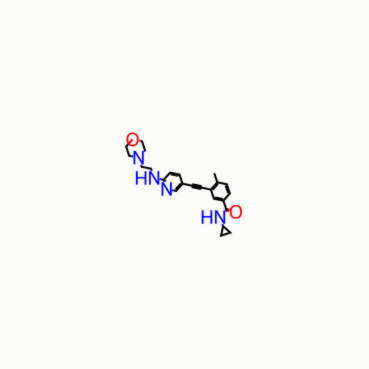 Cc1ccc(C(=O)NC2CC2)cc1C#Cc1ccc(NCCN2CCOCC2)nc1